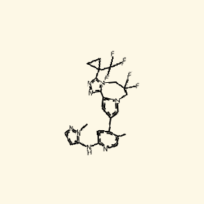 Cc1cnc(Nc2ccnn2C)cc1-c1cc2n(c1)CC(F)(F)Cn1c-2nnc1C1(C(F)(F)F)CC1